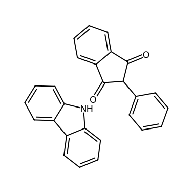 O=C1c2ccccc2C(=O)C1c1ccccc1.c1ccc2c(c1)[nH]c1ccccc12